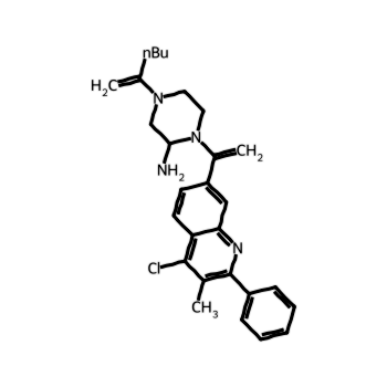 C=C(CCCC)N1CCN(C(=C)c2ccc3c(Cl)c(C)c(-c4ccccc4)nc3c2)C(N)C1